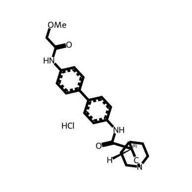 COCC(=O)Nc1ccc(-c2ccc(NC(=O)[C@H]3CN4CCC3CC4)cc2)cc1.Cl